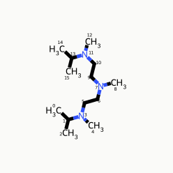 CC(C)N(C)CCN(C)CCN(C)C(C)C